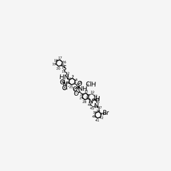 Cl.O=C(NS(=O)(=O)c1ccc(NCCSc2ccccc2)c([N+](=O)[O-])c1)c1ccc2c(c1)CC[C@@H]1CN(Cc3ccccc3Br)CCN21